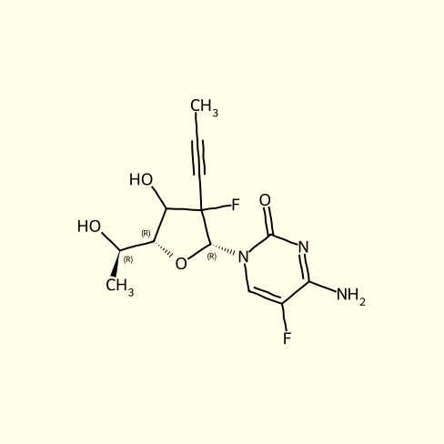 CC#CC1(F)C(O)[C@@H]([C@@H](C)O)O[C@H]1n1cc(F)c(N)nc1=O